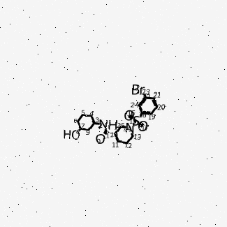 O=C(NC1CCCC(O)C1)[C@H]1CCCN(S(=O)(=O)c2cccc(Br)c2)C1